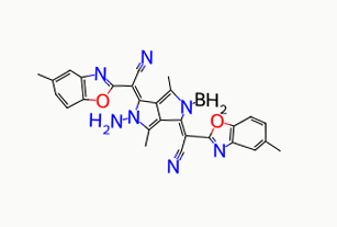 Bn1c(C)c2/c(=C(\C#N)c3nc4cc(C)ccc4o3)n(N)c(C)c2/c1=C(\C#N)c1nc2cc(C)ccc2o1